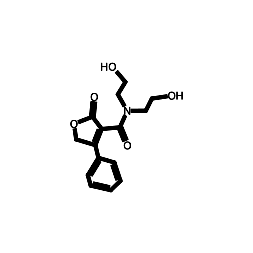 O=C1OCC(c2ccccc2)=C1C(=O)N(CCO)CCO